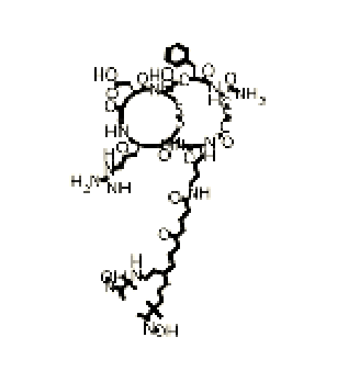 C/C(=N/O)C(C)(C)CCCC(CCCC(=O)CCCC(=O)NCCCC[C@@H]1NC(=O)CSC[C@@H](C(N)=O)NC(=O)[C@H](Cc2ccccc2)CC(=O)[C@@H]2CSSC[C@H](NC1=O)C(=O)C[C@@H](CCCNC(=N)N)C(=O)NCC(=O)C[C@@H](CC(=O)O)C(=O)N2)CCNC(C)(C)/C(C)=N\O